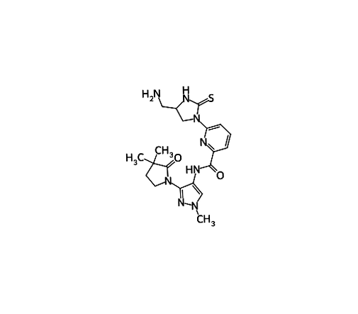 Cn1cc(NC(=O)c2cccc(N3CC(CN)NC3=S)n2)c(N2CCC(C)(C)C2=O)n1